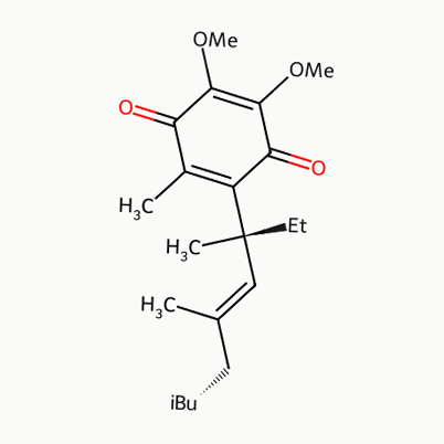 CC[C@@H](C)C/C(C)=C/[C@@](C)(CC)C1=C(C)C(=O)C(OC)=C(OC)C1=O